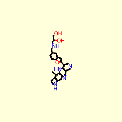 Cc1c(Nc2c(C#N)cncc2-c2cc3cc(CNCC(O)CO)ccc3o2)ccc2[nH]ccc12